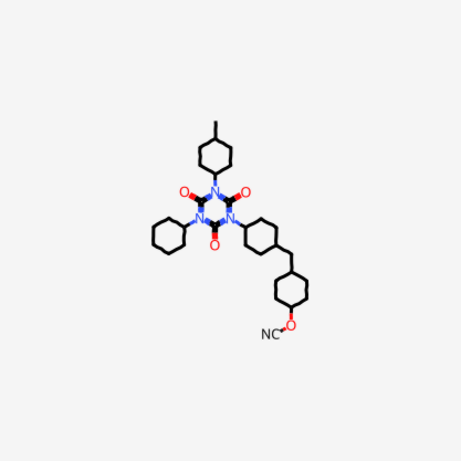 CC1CCC(n2c(=O)n(C3CCCCC3)c(=O)n(C3CCC(CC4CCC(OC#N)CC4)CC3)c2=O)CC1